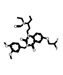 CCC(CCn1c(=O)n(Cc2ccc(OC)c(OC)c2)c(=O)c2cc(OCC(F)F)ccc21)N(C=O)CC